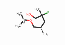 C[C@H](CO[SiH](C)C)C[C@@](C)(F)CO